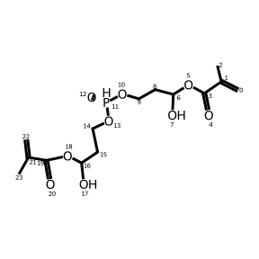 C=C(C)C(=O)OC(O)CCO[PH](=O)OCCC(O)OC(=O)C(=C)C